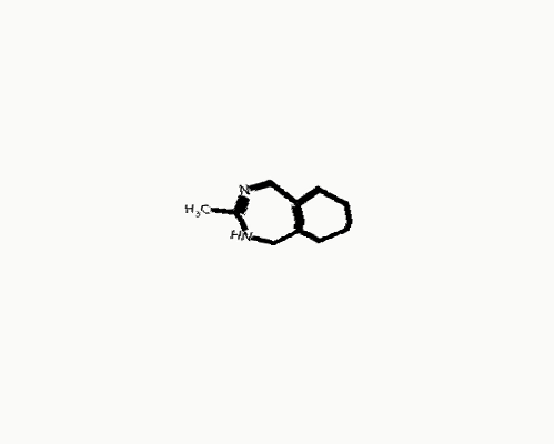 CC1=NCC2=C(CCCC2)CN1